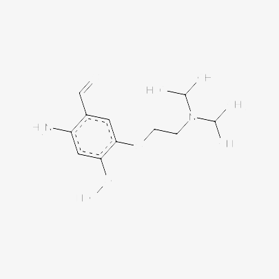 COc1cc(N)c(C=O)cc1OCCN(C(C)C)C(C)C